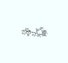 CC(=O)OC1/C=C/C(C)C(/C(C)=C/C=C/C(C)CC2OC2C(C)C(O)C(C)O)OC(=O)CC(O)CC(O)C1(C)O